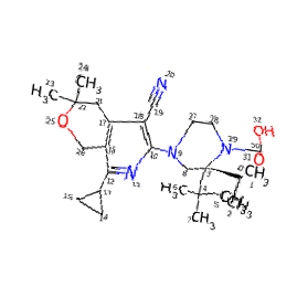 CC(C)[C@@]1(C(C)(C)C)CN(c2nc(C3CC3)c3c(c2C#N)CC(C)(C)OC3)CCN1C(=O)O